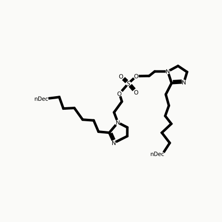 CCCCCCCCCCCCCCCCC1=NCCN1CCOS(=O)(=O)OCCN1CCN=C1CCCCCCCCCCCCCCCC